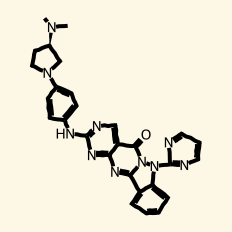 CN(C)[C@@H]1CCN(c2ccc(Nc3ncc4c(=O)n5c(nc4n3)c3ccccc3n5-c3ncccn3)cc2)C1